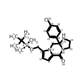 CC(C)(C)[Si](C)(C)OCc1ccc2n1CC1(c3ccc(Cl)cc3)NCCN1C2=O